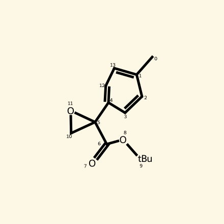 Cc1ccc(C2(C(=O)OC(C)(C)C)CO2)cc1